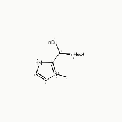 CCCCCCC[C@H](CCCC)c1[nH]cc[n+]1C